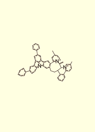 C=C1C2C(CCc3cc4c(cc3-c3cc(C)cc[n+]31)c1cc(-c3ccccc3)cc3c5cc(-c6ccccc6)ccc5n4c31)c1ccccc1-c1ccc(C)c[n+]12